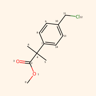 COC(=O)C(C)(C)c1ccc(CCl)cc1